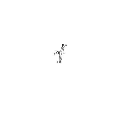 [B]#[Ti]#[B].[Zr]